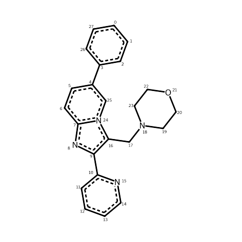 c1ccc(-c2ccc3nc(-c4ccccn4)c(CN4CCOCC4)n3c2)cc1